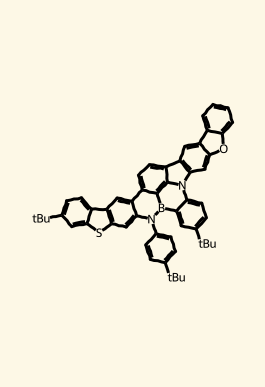 CC(C)(C)c1ccc(N2B3c4cc(C(C)(C)C)ccc4-n4c5cc6oc7ccccc7c6cc5c5ccc(c3c54)-c3cc4c(cc32)sc2cc(C(C)(C)C)ccc24)cc1